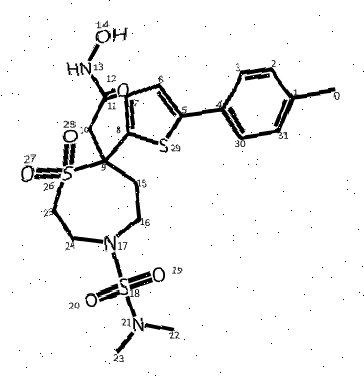 Cc1ccc(-c2ccc(C3(CC(=O)NO)CCN(S(=O)(=O)N(C)C)CCS3(=O)=O)s2)cc1